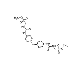 COS(=O)(=O)CNC(=O)Nc1ccc(Cc2ccc(NC(=O)NCS(=O)(=O)OC)cc2)cc1